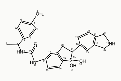 COc1ccc(C(C)NC(=O)Nc2ccc3c(c2)CC(c2ccc4c(c2)CNC4)S3(O)O)cc1